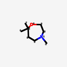 CN1CCOC(C)(C)CC1